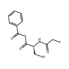 O=C(CF)N[C@@H](CS)C(=O)OC(=O)c1ccccc1